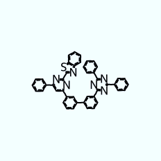 c1ccc(-c2cc(-c3cccc(-c4cccc(-c5nc(-c6ccccc6)nc(-c6ccccc6)n5)c4)c3)nc(-c3nc4ccccc4s3)n2)cc1